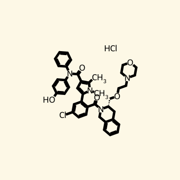 Cc1c(C(=O)N(c2ccccc2)c2ccc(O)cc2)cc(-c2cc(Cl)ccc2C(=O)N2Cc3ccccc3C[C@H]2COCCN2CCOCC2)n1C.Cl